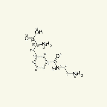 NCCNC(=O)c1cccc(C[C@H](N)C(=O)O)c1